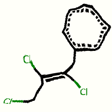 ClCC(Cl)=C(Cl)c1ccccc1